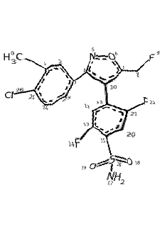 Cc1cc(-c2noc(CF)c2-c2cc(F)c(S(N)(=O)=O)cc2F)ccc1Cl